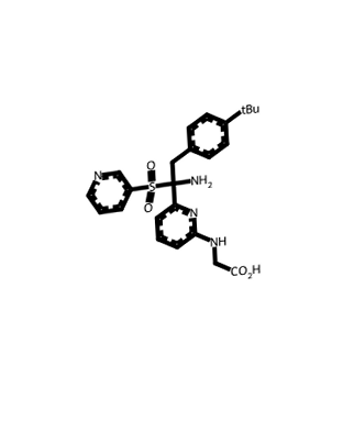 CC(C)(C)c1ccc(CC(N)(c2cccc(NCC(=O)O)n2)S(=O)(=O)c2cccnc2)cc1